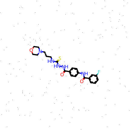 O=C(NNC(=S)NCCCN1CCOCC1)c1ccc(NC(=O)c2cccc(F)c2)cc1